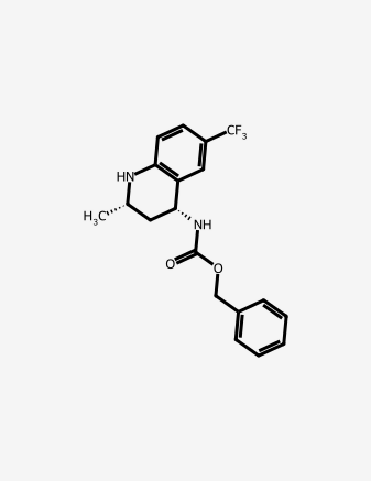 C[C@H]1C[C@@H](NC(=O)OCc2ccccc2)c2cc(C(F)(F)F)ccc2N1